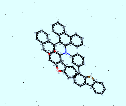 c1cc(-c2cccc3c2sc2ccccc23)cc(N(c2c(-c3cccc4ccccc34)c3ccccc3c3ccccc23)c2cccc3oc4ccccc4c23)c1